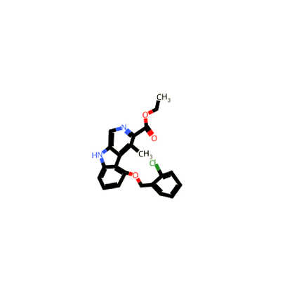 CCOC(=O)c1ncc2[nH]c3cccc(OCc4ccccc4Cl)c3c2c1C